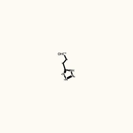 O=CCCc1nnn[nH]1